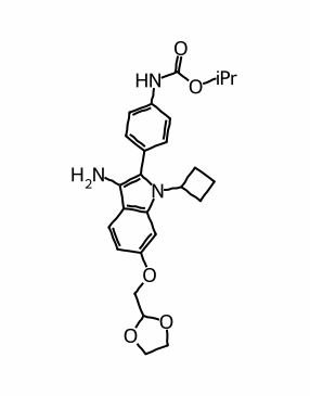 CC(C)OC(=O)Nc1ccc(-c2c(N)c3ccc(OCC4OCCO4)cc3n2C2CCC2)cc1